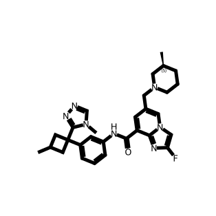 CC1CC(c2cccc(NC(=O)c3cc(CN4CCC[C@H](C)C4)cn4cc(F)nc34)c2)(c2nncn2C)C1